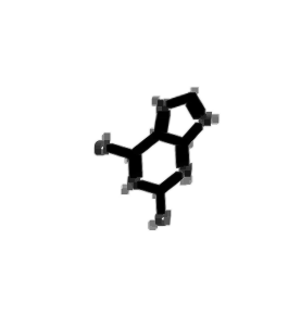 Cl[C]1N=C(Cl)C2=NC=NC2=N1